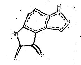 O=C1Nc2ccc3[nH]ncc3c2C1=O